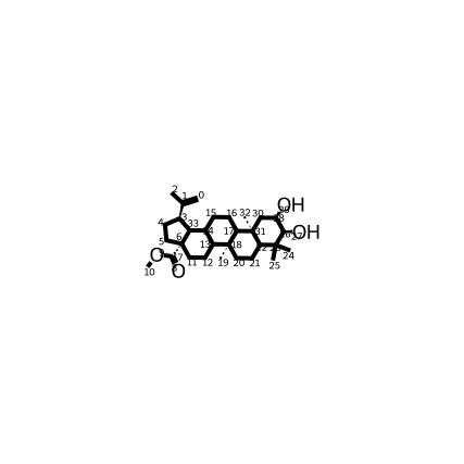 C=C(C)[C@@H]1CC[C@]2(C(=O)OC)CCC3C(CCC4[C@@]3(C)CCC3C(C)(C)[C@H](O)[C@H](O)C[C@@]34C)C12